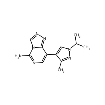 Cc1nn(C(C)C)cc1-c1cnc(N)n2cnnc12